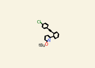 CC(C)(C)Oc1cccc(-c2ccccc2C#Cc2ccc(Cl)cc2)n1